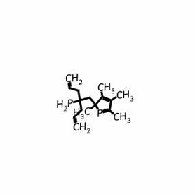 C=CCC(P)(CC=C)CC1(C)P=C(C)C(C)=C1C